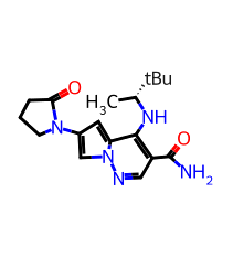 C[C@@H](Nc1c(C(N)=O)cnn2cc(N3CCCC3=O)cc12)C(C)(C)C